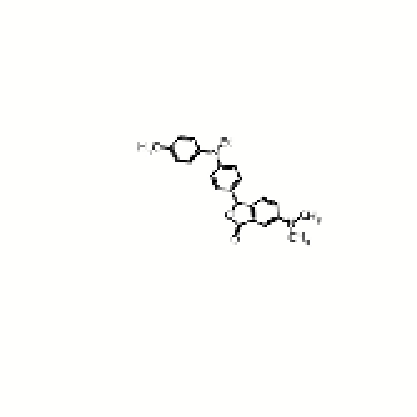 CCN(c1ccc(C)cc1)c1ccc(C2OC(=O)c3cc(N(C)C)ccc32)cc1